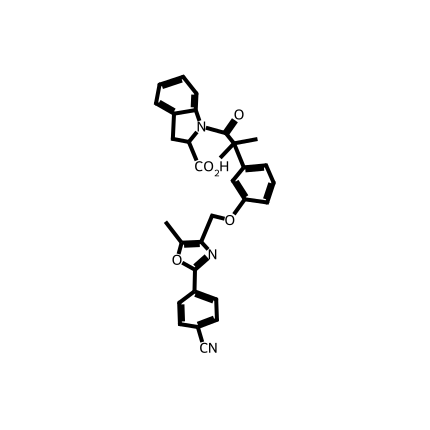 Cc1oc(-c2ccc(C#N)cc2)nc1COc1cccc(C(C)(C)C(=O)N2c3ccccc3CC2C(=O)O)c1